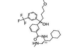 CNC[C@H](CC1CCCCC1)NC(=O)C1=CC([C@@](O)(CCCCOC)c2cccc(C(F)(F)F)c2)CC=C1